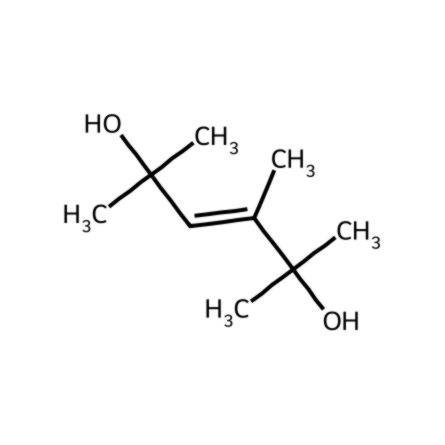 CC(=CC(C)(C)O)C(C)(C)O